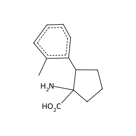 Cc1ccccc1C1CCCC1(N)C(=O)O